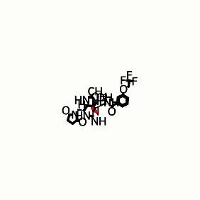 C=C1N[C@H]2[C@H](CN3C(=O)CCC3=O)NC(=N)N3C[C@H](NC(=O)c4cccc(OCC(F)(F)F)c4)C(O)(O)[C@]23N1